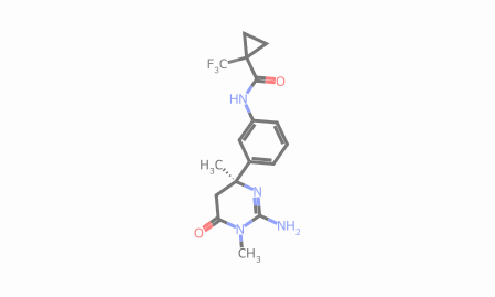 CN1C(=O)C[C@@](C)(c2cccc(NC(=O)C3(C(F)(F)F)CC3)c2)N=C1N